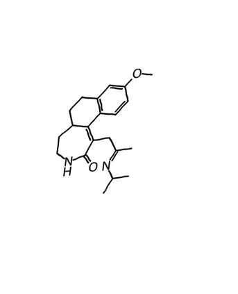 COc1ccc2c(c1)CCC1CCNC(=O)C(CC(C)=NC(C)C)=C21